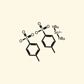 CCC[CH2][Sn+2][CH2]CCC.Cc1ccc(S(=O)(=O)[O-])cc1.Cc1ccc(S(=O)(=O)[O-])cc1